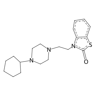 O=c1sc2ccccc2n1CCN1CCN(C2CCCCC2)CC1